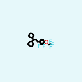 Fc1c(CCC(C2CCCCC2)C2CCCCC2)ccc(OCC(F)(F)F)c1F